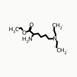 [CH2][CH]CN(C[CH][CH2])CCCCC(N)C(=O)OCC